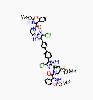 COS[C@H]1C[C@@H](c2nc(Cl)c(-c3ccc(-c4ccc(-c5[nH]c([C@@H]6CCCN6C(=O)[C@H](NC(=O)OC)c6ccccc6)nc5Cl)cc4)cc3)[nH]2)N(C(=O)[C@@H](NC(=O)OC)c2ccccc2)C1